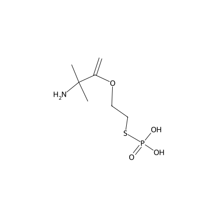 C=C(OCCSP(=O)(O)O)C(C)(C)N